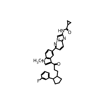 Cn1cc(C(=O)CCC2CCCC2c2cccc(F)c2)c2cc(-c3ccc4nc(NC(=O)C5CC5)cn4n3)ccc21